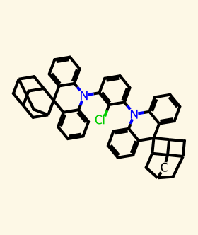 Clc1c(N2c3ccccc3C3(c4ccccc42)C2CC4CC(C2)CC3C4)cccc1N1c2ccccc2C2(c3ccccc31)C1CC3CC4CC2C41C3